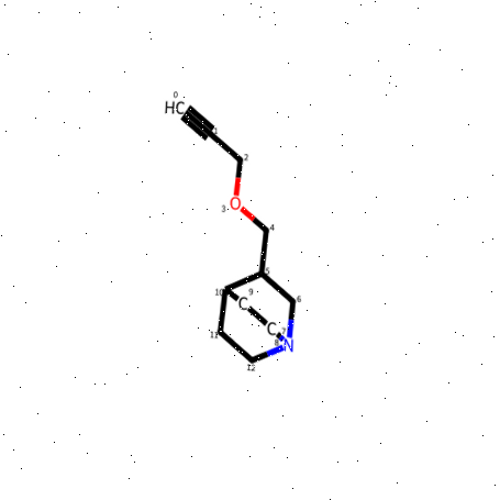 C#CCOCC1CN2CCC1CC2